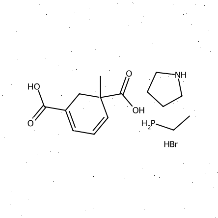 Br.C1CCNC1.CC1(C(=O)O)C=CC=C(C(=O)O)C1.CCP